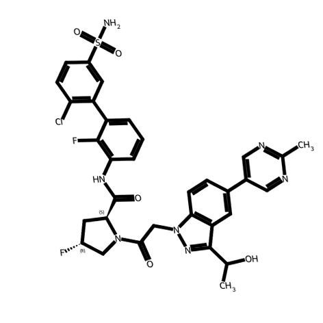 Cc1ncc(-c2ccc3c(c2)c(C(C)O)nn3CC(=O)N2C[C@H](F)C[C@H]2C(=O)Nc2cccc(-c3cc(S(N)(=O)=O)ccc3Cl)c2F)cn1